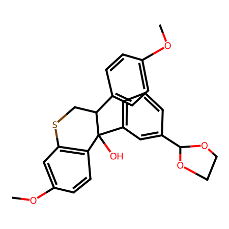 COc1ccc(C2CSc3cc(OC)ccc3C2(O)c2cccc(C3OCCO3)c2)cc1